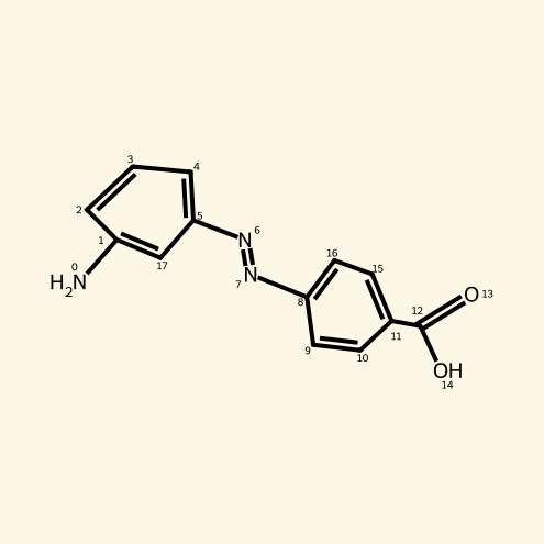 Nc1cccc(N=Nc2ccc(C(=O)O)cc2)c1